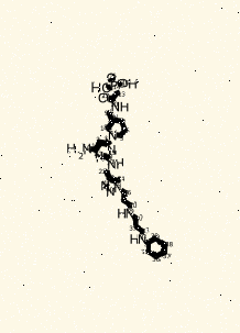 Nc1cc(N2CCCC(CNC(=O)CP(=O)(O)O)C2)nc(NCc2cn(CCCNCCCNC3CCCCC3)nn2)n1